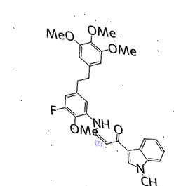 COc1cc(CCc2cc(F)c(OC)c(N/C=C\C(=O)c3cn(C)c4ccccc34)c2)cc(OC)c1OC